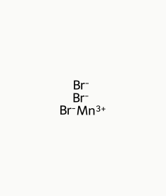 [Br-].[Br-].[Br-].[Mn+3]